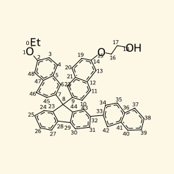 CCOc1ccc2cc(C3(c4ccc5cc(OCCO)ccc5c4)c4ccccc4-c4ccc(-c5ccc6ccccc6c5)cc43)ccc2c1